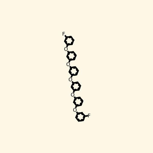 Fc1cccc(Oc2cccc(Oc3cccc(Oc4cccc(Oc5cccc(Oc6cccc(F)c6)c5)c4)c3)c2)c1